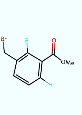 COC(=O)c1c(F)ccc(CBr)c1F